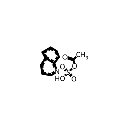 CC(=O)OS(=O)(=O)O.c1ccc2ncccc2c1